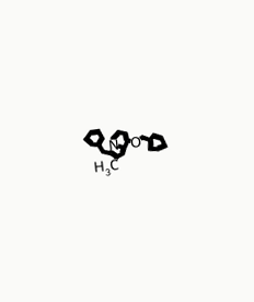 Cc1cc2c(OCc3ccccc3)cccn2c1Cc1ccccc1